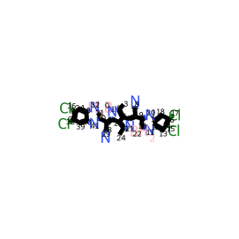 Bn1c(C)c2/c(=C(\C#N)c3cnc4cc(Cl)c(Cl)cc4n3)n(B)c(C)c2/c1=C(\C#N)c1cnc2cc(Cl)c(Cl)cc2n1